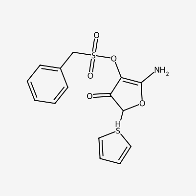 NC1=C(OS(=O)(=O)Cc2ccccc2)C(=O)C([SH]2C=CC=C2)O1